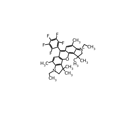 CCN1CC(C)(C)c2c3c(cc(C)c21)C(c1c(F)c(F)c(F)c(F)c1F)=c1cc(C)c2c(c1O3)C(C)(C)C[N+]=2CC